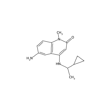 CC(Nc1cc(=O)n(C)c2ccc(N)cc12)C1CC1